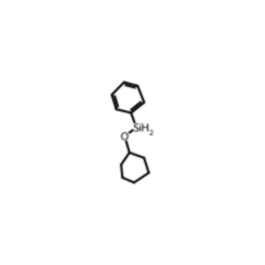 c1ccc([SiH2]OC2CCCCC2)cc1